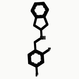 Fc1ccc(CNC2Cc3ccccc3C2)c(F)c1